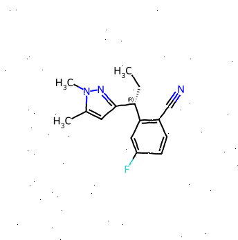 CC[C@@H](c1cc(C)n(C)n1)c1cc(F)ccc1C#N